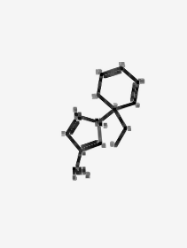 CCC1(n2cc(N)cn2)C=CC=CC1